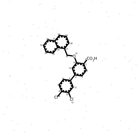 O=C(O)c1ccc(-c2ccc(Cl)c(Cl)c2)cc1OCc1cccc2ccccc12